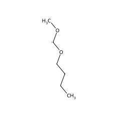 CCCCO[CH]OC